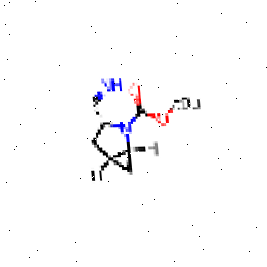 CC(C)(C)OC(=O)N1[C@@H]2C[C@@H]2C[C@@H]1C=N